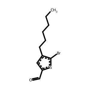 CCCCCCc1cc(C=O)sc1Br